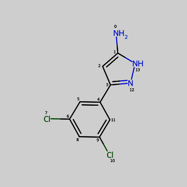 Nc1cc(-c2cc(Cl)cc(Cl)c2)n[nH]1